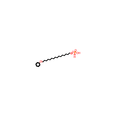 O=P(O)(O)OOCCCCCCCCCCCCCCCCOc1ccccc1